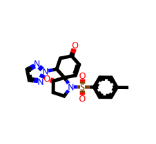 Cc1ccc(S(=O)(=O)N2CCC(=O)C23C=CC(=O)CC3n2nccn2)cc1